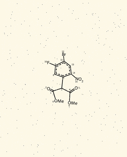 COC(=O)C(C(=O)OC)c1cc(F)c(Br)cc1[N+](=O)[O-]